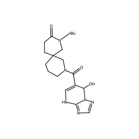 CCCCN1CC2(CCCN(C(=O)C3=CNc4ncnn4C3O)C2)CCC1=O